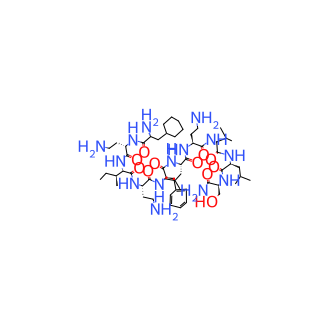 CC[C@H](C)[C@H](NC(=O)[C@H](CCN)NC(=O)[C@@H](N)CC1CCCCC1)C(=O)N[C@@H](CCN)C(=O)N[C@H](Cc1ccccc1)C(=O)N[C@@H](CC(C)C)C(=O)N[C@@H](CCN)C(=O)N[C@@H](C(=O)N[C@@H](CC(C)C)C(=O)N[C@@H](CO)C(N)=O)C(C)C